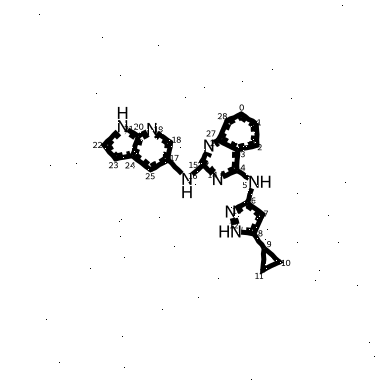 c1ccc2c(Nc3cc(C4CC4)[nH]n3)nc(Nc3cnc4[nH]ccc4c3)nc2c1